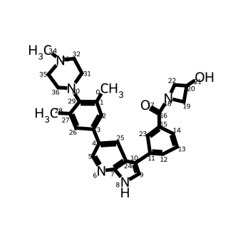 Cc1cc(-c2cnc3[nH]cc(-c4cccc(C(=O)N5CC(O)C5)c4)c3c2)cc(C)c1N1CCN(C)CC1